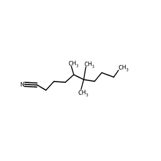 CCCCC(C)(C)C(C)CCCC#N